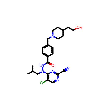 CC(C)CN(NC(=O)c1ccc(CN2CCC(CCO)CC2)cc1)c1nc(C#N)ncc1Cl